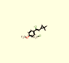 CC1(C)CC1C=C(Cl)c1ccc(OC(F)(F)F)cc1.O=C(O)Cl